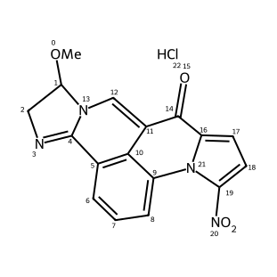 COC1CN=c2c3cccc4c3c(cn21)c(=O)c1ccc([N+](=O)[O-])n14.Cl